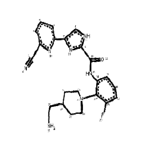 N#Cc1cccc(-c2c[nH]c(C(=O)Nc3cccc(F)c3N3CCC(CN)CC3)n2)n1